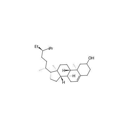 CC[C@H](CC[C@@H](C)[C@H]1CC[C@H]2[C@@H]3CC=C4CCC(O)C[C@]4(C)[C@H]3CC[C@]12C)C(C)C